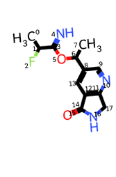 CC(F)C(=N)OC(C)c1cnc2c(c1)C(=O)NC2